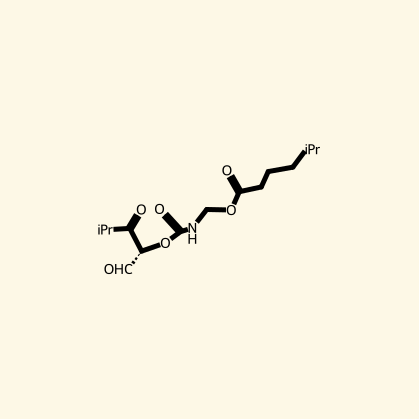 CC(C)CCCC(=O)OCNC(=O)O[C@H](C=O)C(=O)C(C)C